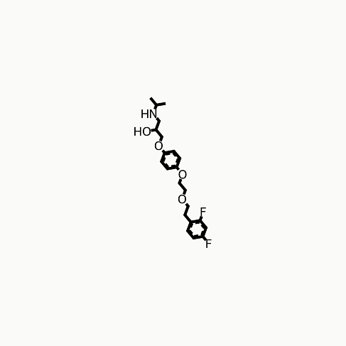 CC(C)NCC(O)COc1ccc(OCCOCCc2ccc(F)cc2F)cc1